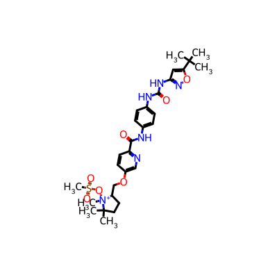 CC(C)(C)c1cc(NC(=O)Nc2ccc(NC(=O)c3ccc(OCC4CCC(C)(C)[N+]4(C)OS(C)(=O)=O)cn3)cc2)no1